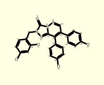 O=c1n(Cc2ccc(Cl)cc2Cl)nc2c(-c3ccc(Cl)cc3)c(-c3ccc(Cl)cc3)cnn12